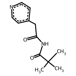 CC(C)(C)C(=O)NC(=O)Cc1ccncc1